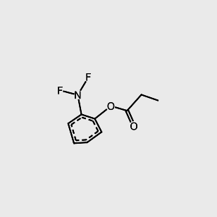 CCC(=O)Oc1ccccc1N(F)F